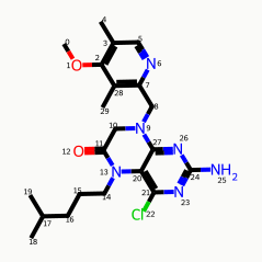 COc1c(C)cnc(CN2CC(=O)N(CCCC(C)C)c3c(Cl)nc(N)nc32)c1C